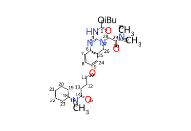 CC(C)COC(=O)NC1=Nc2ccc(OCCCC(=O)N(C)C3CCCCC3)cc2CN1CC(=O)N(C)C